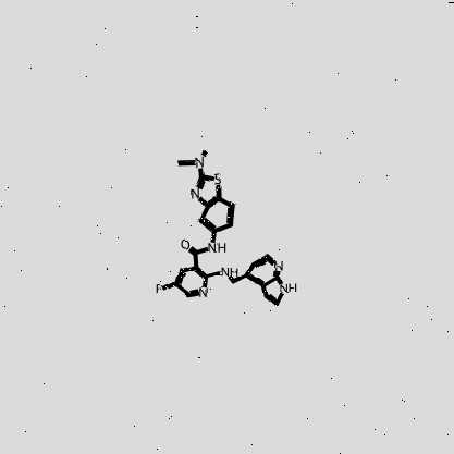 CN(C)c1nc2cc(NC(=O)c3cc(F)cnc3NCc3ccnc4[nH]ccc34)ccc2s1